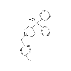 [CH2]c1ccc(CN2CCC(C(O)(c3ccccc3)c3ccccc3)CC2)cc1